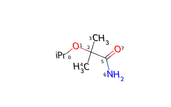 CC(C)OC(C)(C)C(N)=O